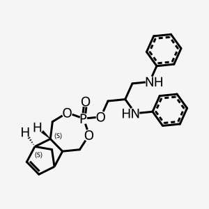 O=P1(OCC(CNc2ccccc2)Nc2ccccc2)OCC2C3C=C[C@H](C3)[C@@H]2CO1